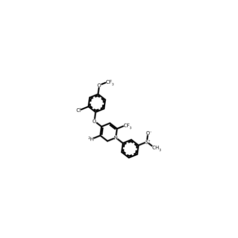 [2H]C1=C(Oc2ccc(OC(F)(F)F)cc2Cl)C=C(C(F)(F)F)N(c2cccc([S+](C)[O-])c2)C1